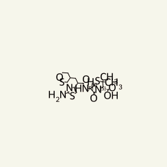 CC1(C)S[C@@H]2[C@H](NC(=O)C(CC3CCOSC3)c3csc(N)n3)C(=O)N2[C@H]1C(=O)O